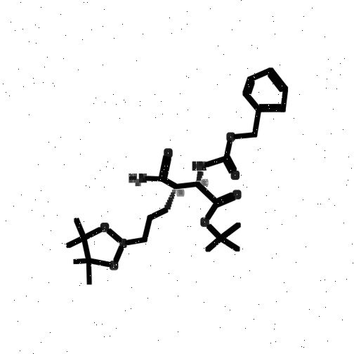 CC(C)(C)OC(=O)[C@@H](NC(=O)OCc1ccccc1)[C@H](CCCB1OC(C)(C)C(C)(C)O1)C(N)=O